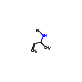 [CH2]C(C=C)NCC